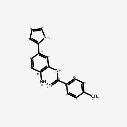 [CH2]c1ccc(C(=O)Nc2cc(-c3cccs3)ccc2N)cc1